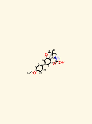 CCOc1ccc(-c2ccc3c(c2)OCC(C)(C)C3NC(=O)O)cc1